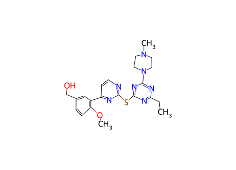 CCc1nc(Sc2nccc(-c3cc(CO)ccc3OC)n2)nc(N2CCN(C)CC2)n1